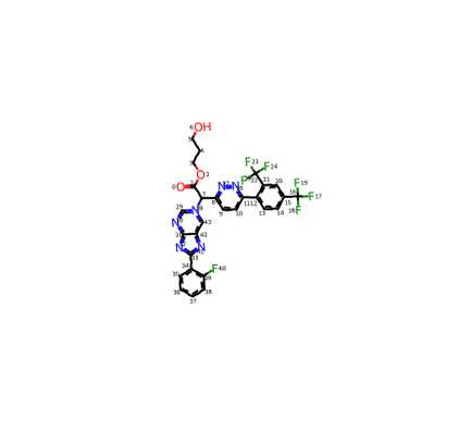 O=C(OCCCO)C(c1ccc(-c2ccc(C(F)(F)F)cc2C(F)(F)F)nn1)n1cnc2nc(-c3ccccc3F)nc-2c1